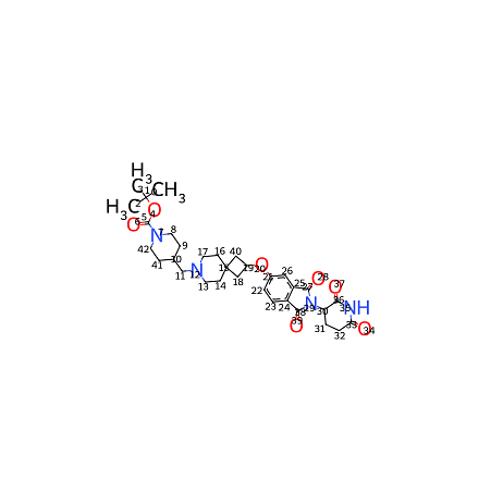 CC(C)(C)OC(=O)N1CCC(CN2CCC3(CC2)CC(Oc2ccc4c(c2)C(=O)N(C2CCC(=O)NC2=O)C4=O)C3)CC1